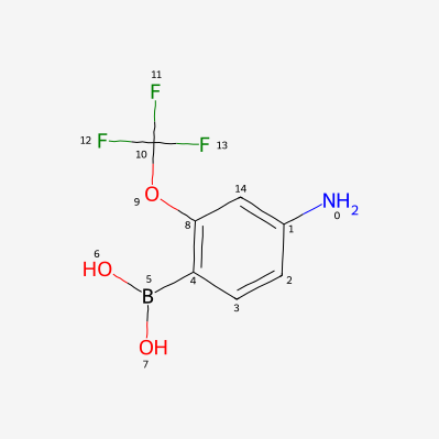 Nc1ccc(B(O)O)c(OC(F)(F)F)c1